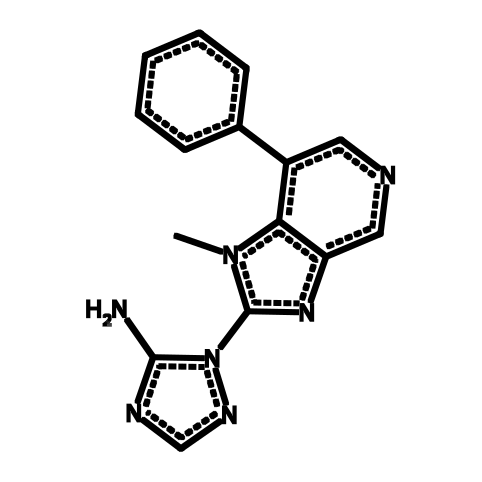 Cn1c(-n2ncnc2N)nc2cncc(-c3ccccc3)c21